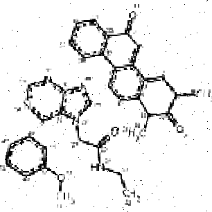 CC1C=c2c(ccc3c2=CC(=O)c2ccccc2-3)C(C)C1=O.CCNC(=O)Cn1cnc2ncncc21.COc1ccccc1